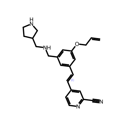 C=CCOc1cc(/C=C/c2ccnc(C#N)c2)cc(CNCC2CCNC2)c1